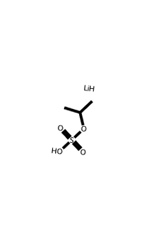 CC(C)OS(=O)(=O)O.[LiH]